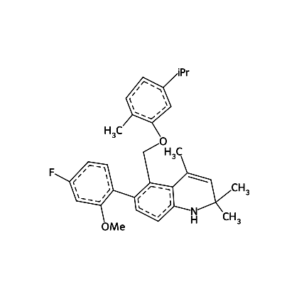 COc1cc(F)ccc1-c1ccc2c(c1COc1cc(C(C)C)ccc1C)C(C)=CC(C)(C)N2